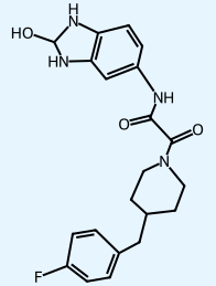 O=C(Nc1ccc2c(c1)NC(O)N2)C(=O)N1CCC(Cc2ccc(F)cc2)CC1